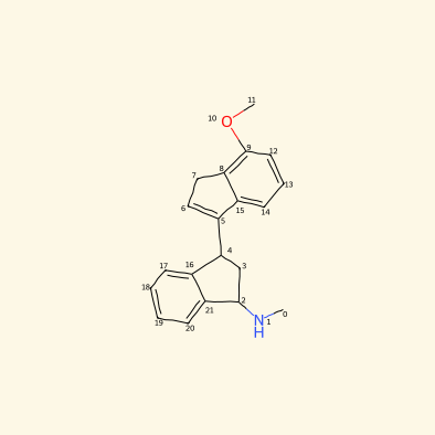 CNC1CC(C2=CCc3c(OC)cccc32)c2ccccc21